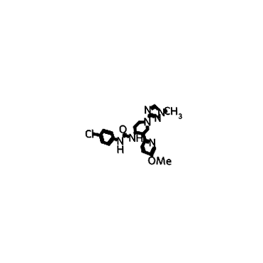 COc1ccc(C2CN(c3ncn(C)n3)CCC2NC(=O)Nc2ccc(Cl)cc2)nc1